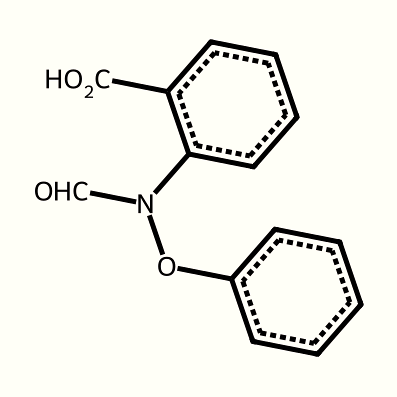 O=CN(Oc1ccccc1)c1ccccc1C(=O)O